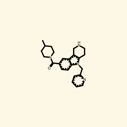 CC1CCN(C(=O)c2ccc3c(c2)c2c(n3Cc3ccccn3)CCNC2)CC1